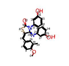 COc1ccc(C=C2SC(=O)N(c3cccc(O)c3)C2=Nc2cccc(O)c2)cc1C